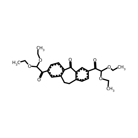 CCOC(OCC)C(=O)c1ccc2c(c1)CCc1ccc(C(=O)C(OCC)OCC)cc1C2=O